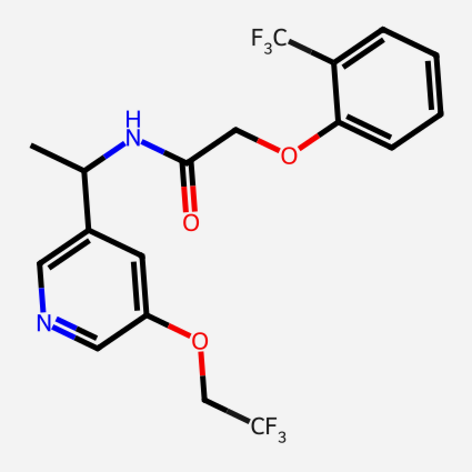 CC(NC(=O)COc1ccccc1C(F)(F)F)c1cncc(OCC(F)(F)F)c1